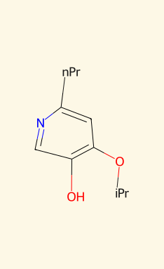 CCCc1cc(OC(C)C)c(O)cn1